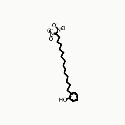 O=[N+]([O-])C(CCCCCCCCCCCCCCc1ccccc1O)[N+](=O)[O-]